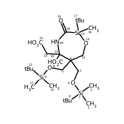 CC(C)(C)[Si](C)(C)OCC1(CO[Si](C)(C)C(C)(C)C)CO[Si](C)(C(C)(C)C)C(=O)NC1(CC(=O)O)C(=O)O